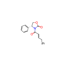 CC(C)CC=CC(=O)N1C(=O)OC[C@H]1c1ccccc1